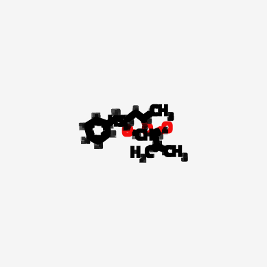 C=C(C)C(=O)OC(C)C[SiH](Cc1ccccc1)OC